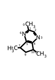 Cc1cnc2c(n1)C(C)CC2C